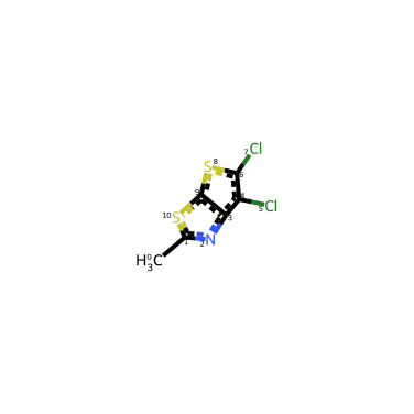 Cc1nc2c(Cl)c(Cl)sc2s1